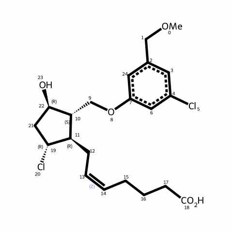 COCc1cc(Cl)cc(OC[C@@H]2[C@@H](C/C=C\CCCC(=O)O)[C@H](Cl)C[C@H]2O)c1